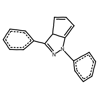 C1=CC2C(=C1)N(c1ccccc1)N=C2c1ccccc1